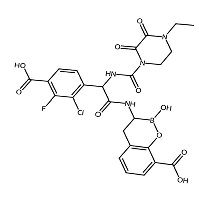 CCN1CCN(C(=O)NC(C(=O)NC2Cc3cccc(C(=O)O)c3OB2O)c2ccc(C(=O)O)c(F)c2Cl)C(=O)C1=O